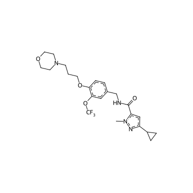 Cn1nc(C2CC2)cc1C(=O)NCc1ccc(OCCCN2CCOCC2)c(OC(F)(F)F)c1